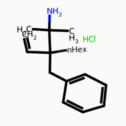 C=CC(CCCCCC)(Cc1ccccc1)C(C)(C)N.Cl